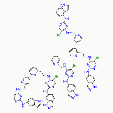 Brc1cnc(Nc2ccc3[nH]ncc3c2)nc1NCCc1ccccn1.Brc1cnc(Nc2ccc3[nH]ncc3c2)nc1NCc1ccccn1.Brc1cnc(Nc2ccc3cn[nH]c3c2)nc1NCCc1ccccn1.Brc1cnc(Nc2cccc3[nH]ccc23)nc1NCc1ccccn1.c1ccc(CNc2ccnc(Nc3ccc4[nH]ccc4c3)n2)nc1